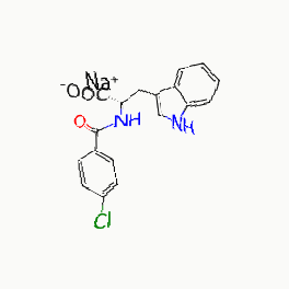 O=C(N[C@@H](Cc1c[nH]c2ccccc12)C(=O)[O-])c1ccc(Cl)cc1.[Na+]